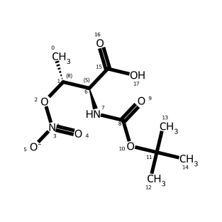 C[C@@H](O[N+](=O)[O-])[C@H](NC(=O)OC(C)(C)C)C(=O)O